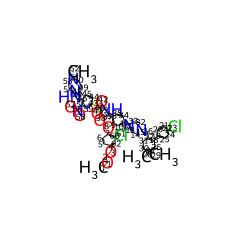 COCOc1ccc(Oc2cc(N3CCN(CC4=C(c5ccc(Cl)cc5)CC(C)(C)CC4)CC3)ccc2C(=O)NS(=O)(=O)c2ccc(NN3CCN(C)CC3)c([N+](=O)[O-])c2)c(Cl)c1